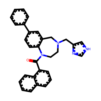 O=C(c1cccc2ccccc12)N1CCN(Cc2c[nH]cn2)Cc2cc(-c3ccccc3)ccc21